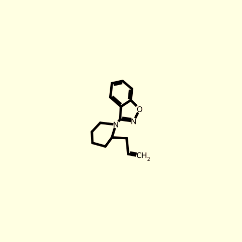 C=CCC1CCCCN1c1noc2ccccc12